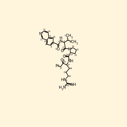 CC(C)C(NC(=O)c1ccc2cnccc2c1)C(=O)N1CCCC1C(=O)NC(CCCNC(=N)N)C(=O)CF